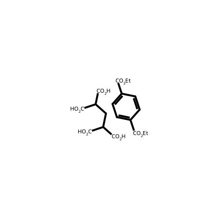 CCOC(=O)c1ccc(C(=O)OCC)cc1.O=C(O)C(CC(C(=O)O)C(=O)O)C(=O)O